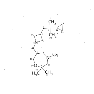 CC(C)N1CC(CN2CC(CC(C)(C)C3CC3)C2)COC(C)(C)C1